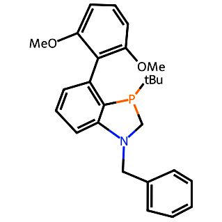 COc1cccc(OC)c1-c1cccc2c1P(C(C)(C)C)CN2Cc1ccccc1